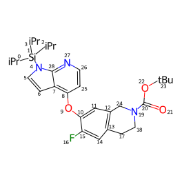 CC(C)[Si](C(C)C)(C(C)C)n1ccc2c(Oc3cc4c(cc3F)CCN(C(=O)OC(C)(C)C)C4)ccnc21